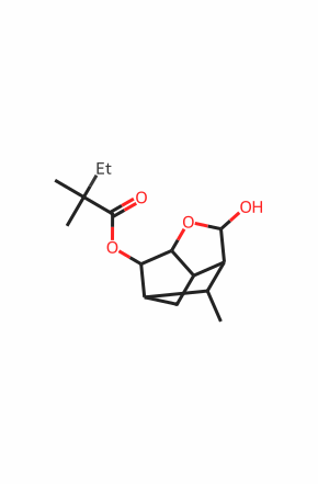 CCC(C)(C)C(=O)OC1C2CC3C1OC(O)C3C2C